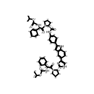 CC(C)OC(=O)N[C@@H](C(=O)N1CCC[C@H]1C(=O)Nc1ccc(-c2cc3cc(-c4c[nH]c([C@@H]5CCCN5C(=O)[C@H](NC(=O)OC(C)C)c5ccccc5)n4)ccc3[nH]2)cc1)c1ccccc1